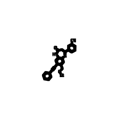 CCOCc1cc2c(cc1C#Cc1ccccc1)NC(=O)CC(c1cccc(C#N)c1)=N2